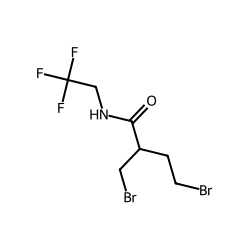 O=C(NCC(F)(F)F)C(CBr)CCBr